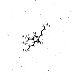 CCCCn1[nH]c(C(C)C)c(CCC)c1=O